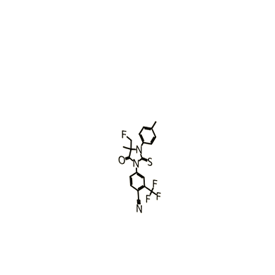 Cc1ccc(N2C(=S)N(c3ccc(C#N)c(C(F)(F)F)c3)C(=O)C2(C)CF)cc1